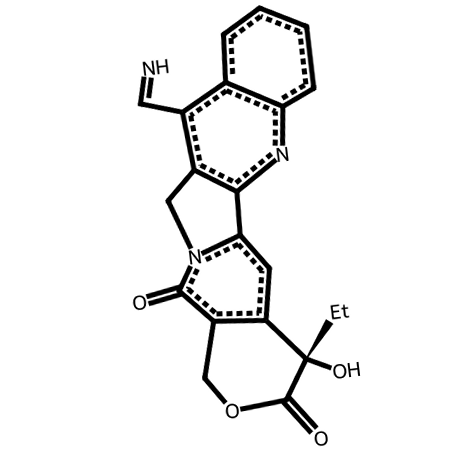 CC[C@@]1(O)C(=O)OCc2c1cc1n(c2=O)Cc2c-1nc1ccccc1c2C=N